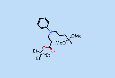 CC[Si](CC)(CC)OC(=O)CCN(CCC[Si](C)(OC)OC)c1ccccc1